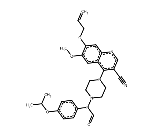 C=CCOc1cc2ncc(C#N)c(N3CCN(N(C=O)c4ccc(OC(C)C)cc4)CC3)c2cc1OC